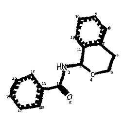 O=C(NC1OCCc2ccccc21)c1ccccc1